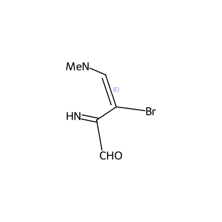 CN/C=C(/Br)C(=N)C=O